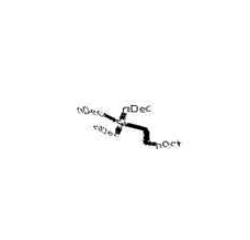 CCCCCCCC/C=C/[Si](CCCCCCCCCC)(CCCCCCCCCC)CCCCCCCCCC